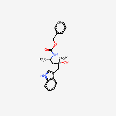 O=C(N[C@H](CC(O)(Cc1c[nH]c2ccccc12)C(=O)O)C(=O)O)OCc1ccccc1